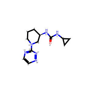 O=C(NC1CC1)N[C@@H]1CCCN(c2nccnn2)C1